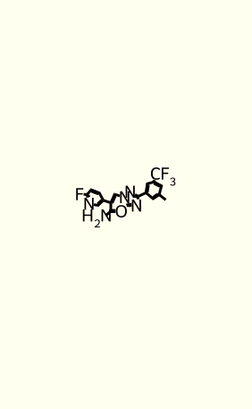 Cc1cc(-c2ncn(/C=C(\C(N)=O)c3ccc(F)nc3)n2)cc(C(F)(F)F)c1